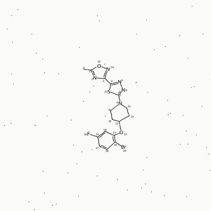 Cc1nc(-c2nnc(N3CCC(Oc4cc(F)ccc4Br)CC3)s2)no1